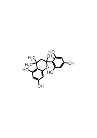 CC1(C)CC(C)(c2c(O)cc(O)cc2O)Oc2cc(O)cc(O)c21